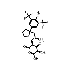 C=C(C(=O)O)C(=O)/C(=C\N(C)CC1(c2cc(C(F)(F)F)c(C)c(C(F)(F)F)c2)CCCC1)N=O